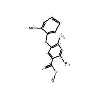 COc1ccccc1Oc1cc(C(=O)OC(C)C)c([N+](=O)[O-])cc1C